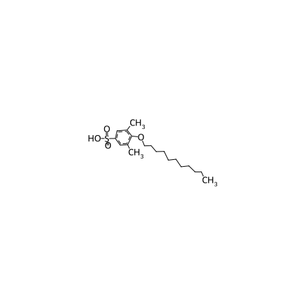 CCCCCCCCCCCOc1c(C)cc(S(=O)(=O)O)cc1C